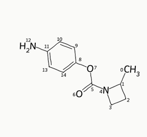 CC1CCN1C(=O)Oc1ccc(N)cc1